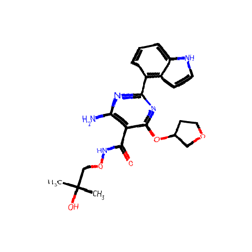 CC(C)(O)CONC(=O)c1c(N)nc(-c2cccc3[nH]ccc23)nc1OC1CCOC1